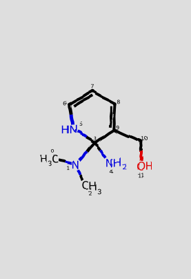 CN(C)C1(N)NC=CC=C1CO